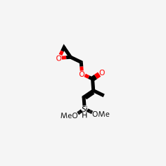 CO[SiH](C=C(C)C(=O)OCC1CO1)OC